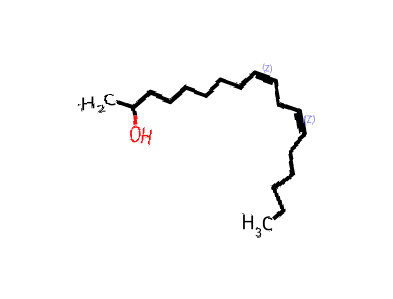 [CH2]C(O)CCCCCC/C=C\C/C=C\CCCCC